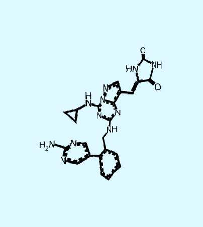 Nc1ncc(-c2ccccc2CNc2nc(NC3CC3)n3ncc(/C=C4\NC(=O)NC4=O)c3n2)cn1